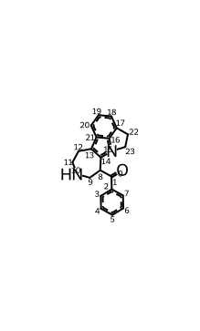 O=C(c1ccccc1)C1CNCCc2c1n1c3c(cccc23)CC1